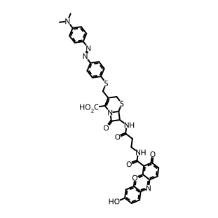 CN(C)c1ccc(N=Nc2ccc(SCC3=C(C(=O)O)N4C(=O)C(NC(=O)CCNC(=O)c5c6oc7cc(O)ccc7nc-6ccc5=O)C4SC3)cc2)cc1